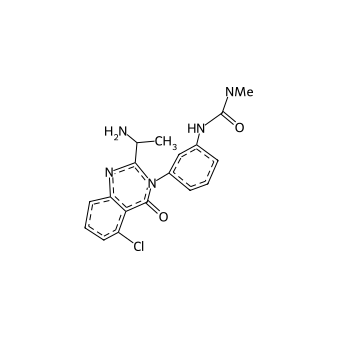 CNC(=O)Nc1cccc(-n2c(C(C)N)nc3cccc(Cl)c3c2=O)c1